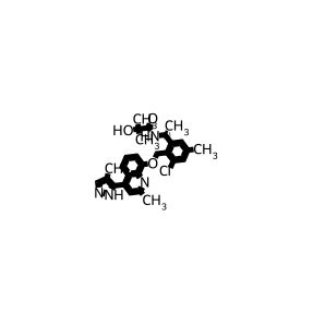 Cc1cc(Cl)c(COc2cccc3c(-c4[nH]ncc4C)cc(C)nc23)c([C@H](C)NC(=O)C(C)(C)O)c1